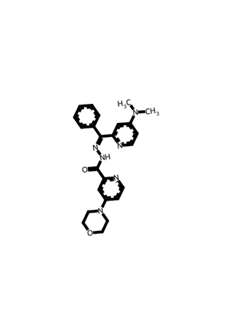 CN(C)c1ccnc(/C(=N\NC(=O)c2cc(N3CCOCC3)ccn2)c2ccccc2)c1